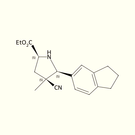 CCOC(=O)[C@@H]1C[C@](C)(C#N)[C@H](c2ccc3c(c2)CCC3)N1